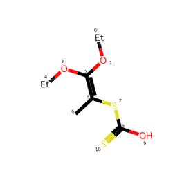 CCOC(OCC)=C(C)SC(O)=S